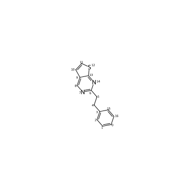 c1ccc(CCc2ncc3ccsc3n2)cc1